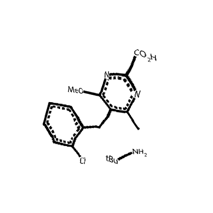 CC(C)(C)N.COc1nc(C(=O)O)nc(C)c1Cc1ccccc1Cl